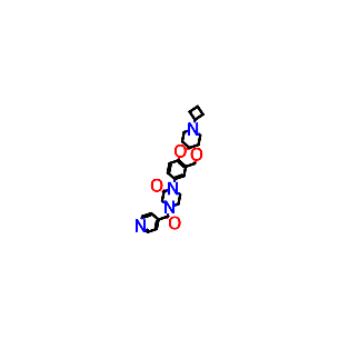 O=C(c1ccncc1)N1CCN(c2ccc3c(c2)COC2(CCN(C4CCC4)CC2)O3)C(=O)C1